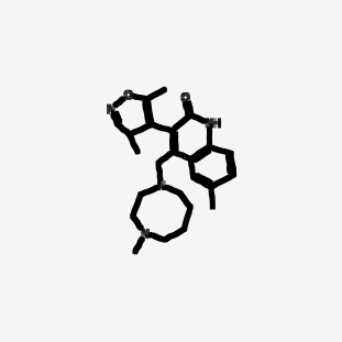 CC1=C(c2c(CN3CCCCN(C)CC3)c3cc(C)ccc3[nH]c2=O)C(C)C=NO1